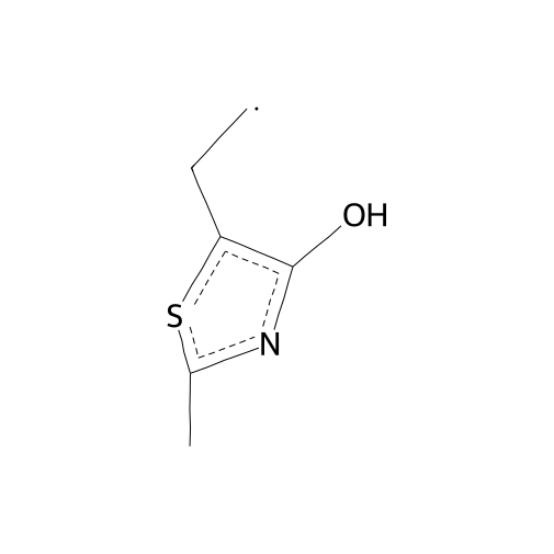 [CH2]Cc1sc(C)nc1O